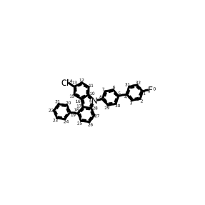 Fc1ccc(-c2ccc(-n3c4ccc(Cl)cc4c4c(-c5ccccc5)cccc43)cc2)cc1